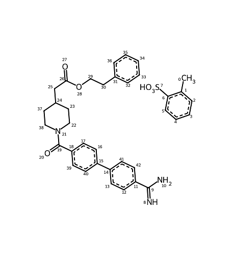 Cc1ccccc1S(=O)(=O)O.N=C(N)c1ccc(-c2ccc(C(=O)N3CCC(CC(=O)OCCc4ccccc4)CC3)cc2)cc1